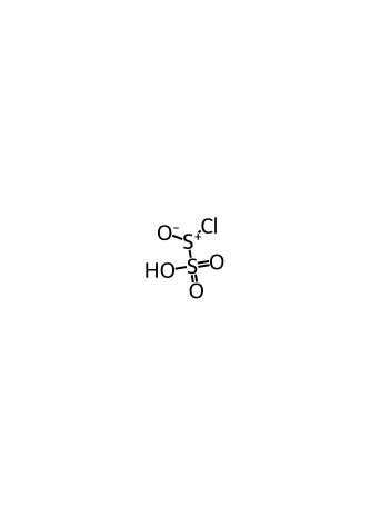 O=S(=O)(O)[S+]([O-])Cl